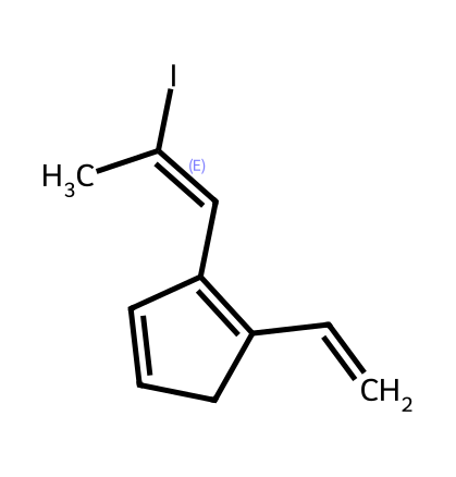 C=CC1=C(/C=C(\C)I)C=CC1